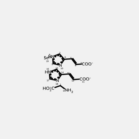 NCC(=O)O.O=C([O-])C=Cc1c[nH]cn1.O=C([O-])C=Cc1c[nH]cn1.[Se+2]